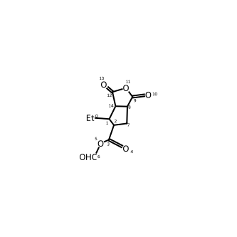 CCC1C(C(=O)OC=O)CC2C(=O)OC(=O)C21